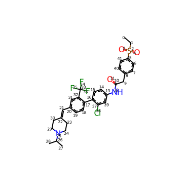 CCS(=O)(=O)c1ccc(CC(=O)Nc2ccc(-c3ccc(C=C4CCN(C(C)C)CC4)cc3C(F)(F)F)c(Cl)c2)cc1